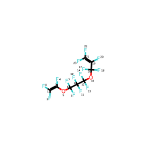 FC(F)=C(F)OC(F)(F)C(F)(F)C(F)(F)OC(F)(F)C(F)=C(F)F